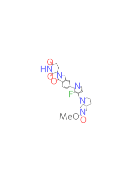 COC(=O)N1CC2CCCN(Cc3ccnc(-c4ccc5c(c4)CN(C4CCC(=O)NC4=O)C5=O)c3F)C2C1